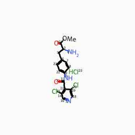 COC(=O)[C@@H](N)Cc1ccc(NC(=O)c2c(Cl)cncc2Cl)cc1.Cl